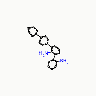 Nc1ccccc1-c1cccc(-c2ccc(-c3ccccc3)cc2)c1N